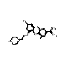 C=C(C)c1cc(I)c(Oc2ccc(CC)cc2CCCN2CCNCC2)c(I)c1